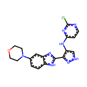 Clc1nccc(Nc2c[nH]nc2-c2nc3cc(N4CCOCC4)ccc3[nH]2)n1